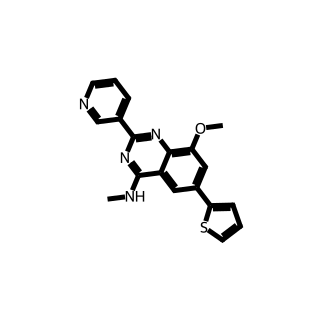 CNc1nc(-c2cccnc2)nc2c(OC)cc(-c3cccs3)cc12